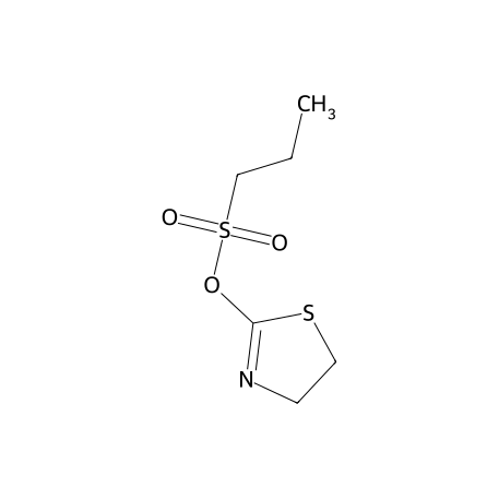 CCCS(=O)(=O)OC1=NCCS1